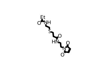 CCC(=O)NCCSCCC(=O)NCCN1C(=O)C=CC1=O